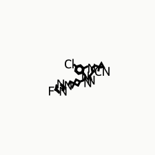 N#CC1(CN2Cc3cc(Cl)ccc3-n3c(nnc3C3CC4(C3)CN(c3ncc(F)cn3)C4)C2)CC1